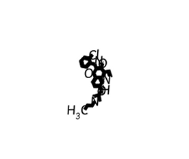 CCCN1CC(Oc2ccc(C(=O)c3c(-c4ccccc4Cl)noc3-c3cc[nH]c3)cc2)C1